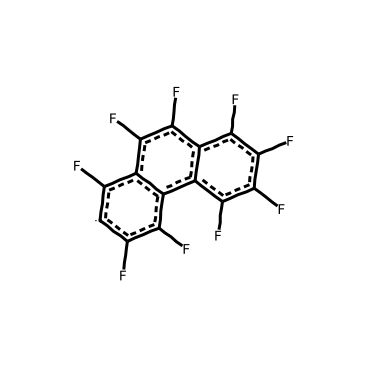 Fc1[c]c(F)c2c(F)c(F)c3c(F)c(F)c(F)c(F)c3c2c1F